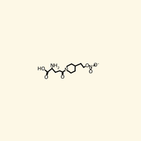 N[C@@H](CCC(=O)N1CCC(CCO[N+](=O)[O-])CC1)C(=O)O